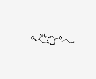 N[C@H](C=O)Cc1ccc(OCCCF)cc1